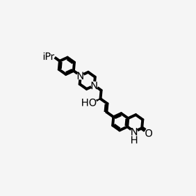 CC(C)c1ccc(N2CCN(C[C@H](O)C=Cc3ccc4c(c3)CCC(=O)N4)CC2)cc1